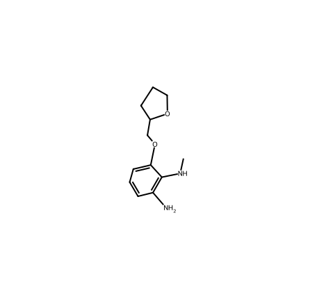 CNc1c(N)cccc1OCC1CCCO1